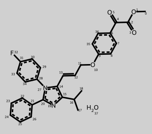 COC(=O)C(=O)c1ccc(OCC=Cc2c(C(C)C)nc(-c3ccccc3)n2-c2ccc(F)cc2)cc1.O